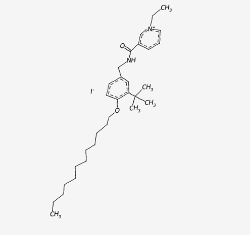 CCCCCCCCCCCCOc1ccc(CNC(=O)c2ccc[n+](CC)c2)cc1C(C)(C)C.[I-]